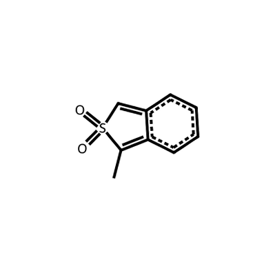 CC1=c2ccccc2=CS1(=O)=O